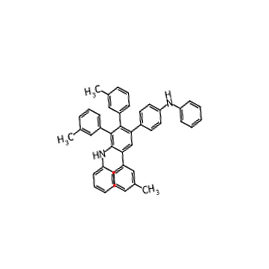 Cc1cccc(-c2cc(-c3ccc(Nc4ccccc4)cc3)c(-c3cccc(C)c3)c(-c3cccc(C)c3)c2Nc2ccccc2)c1